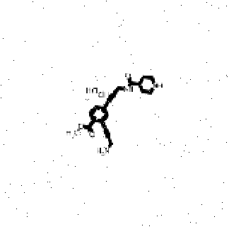 COC(=O)c1ccc(C#CCNC(=O)C2CCNCC2)cc1C#CCN.Cl.Cl